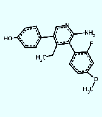 CCc1c(-c2ccc(O)cc2)cnc(N)c1-c1ccc(OC)cc1F